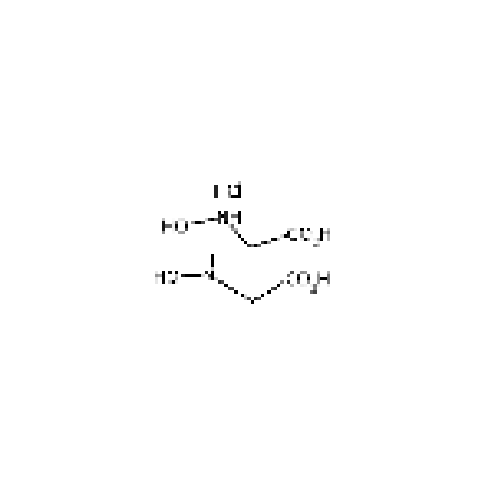 Cl.O=C(O)CNO.O=C(O)CNO